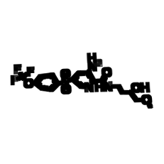 COCC(O)CCNC(=O)c1ncc(S(=O)(=O)c2ccc(OC(F)(F)F)cc2)cc1N